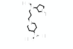 CCN1CCC(N(C)CCCN2CCC(N(C)C)CC2)C1